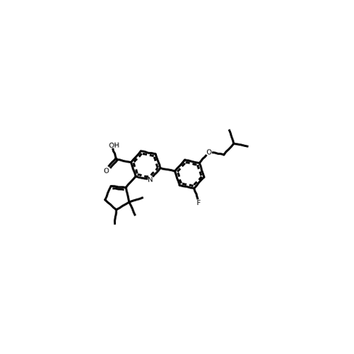 CC(C)COc1cc(F)cc(-c2ccc(C(=O)O)c(C3=CCC(C)C3(C)C)n2)c1